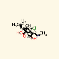 C/C=C\C[C@H]1[C@H](CCl)[C@H]([C@]2(C(=O)O)[C@H](C=C(C)C)C2(C)C)C[C@H]1O